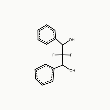 OC(c1ccccc1)C(F)(F)C(O)c1ccccc1